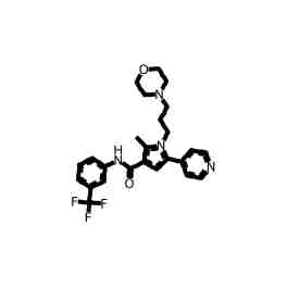 Cc1c(C(=O)Nc2cccc(C(F)(F)F)c2)cc(-c2ccncc2)n1CCCN1CCOCC1